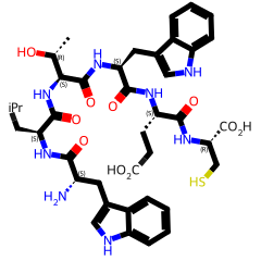 CC(C)C[C@H](NC(=O)[C@@H](N)Cc1c[nH]c2ccccc12)C(=O)N[C@H](C(=O)N[C@@H](Cc1c[nH]c2ccccc12)C(=O)N[C@@H](CCC(=O)O)C(=O)N[C@@H](CS)C(=O)O)[C@@H](C)O